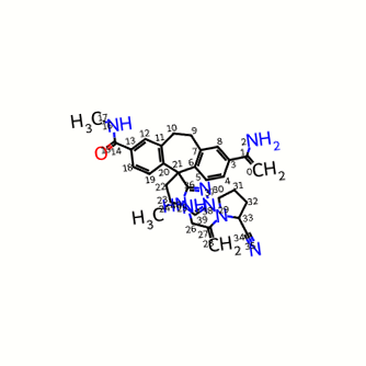 C=C(N)c1ccc2c(c1)CCc1cc(C(=O)NC)ccc1C2(C[C@@H](C)NCC(=C)N1CCCC1C#N)c1nnc[nH]1